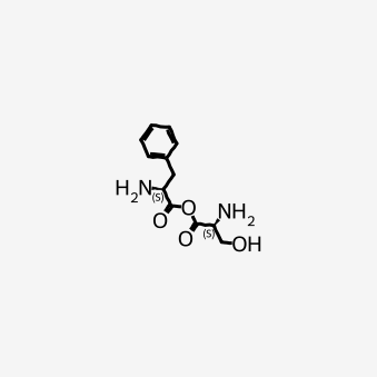 N[C@@H](CO)C(=O)OC(=O)[C@@H](N)Cc1ccccc1